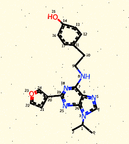 CC(C)n1cnc2c(NCCc3ccc(O)cc3)nc(-c3ccoc3)nc21